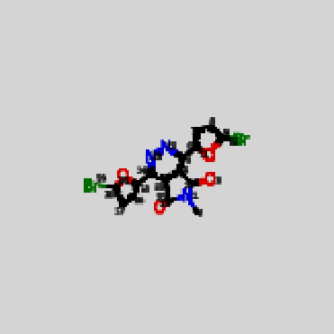 CN1C(=O)c2c(-c3ccc(Br)o3)nnc(-c3ccc(Br)o3)c2C1=O